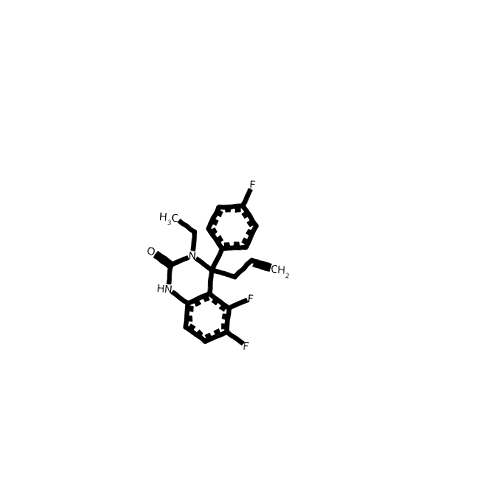 C=CCC1(c2ccc(F)cc2)c2c(ccc(F)c2F)NC(=O)N1CC